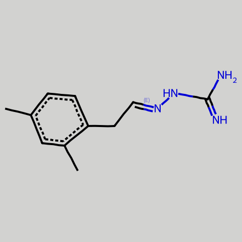 Cc1ccc(C/C=N/NC(=N)N)c(C)c1